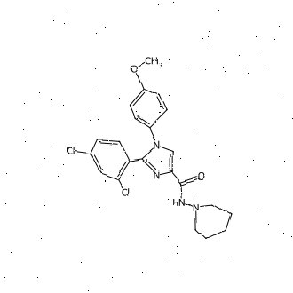 COc1ccc(-n2cc(C(=O)NN3CCCCC3)nc2-c2ccc(Cl)cc2Cl)cc1